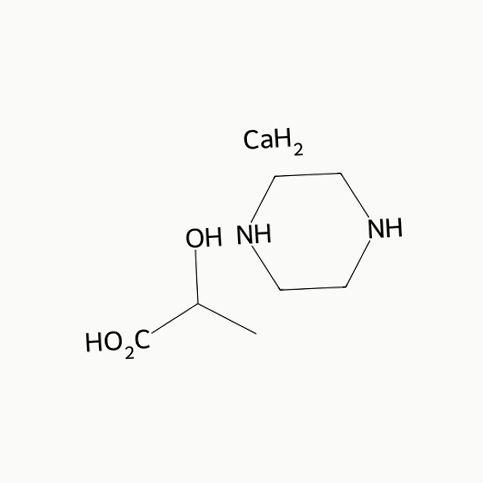 C1CNCCN1.CC(O)C(=O)O.[CaH2]